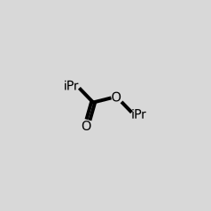 [CH]C(C)C(=O)OC(C)C